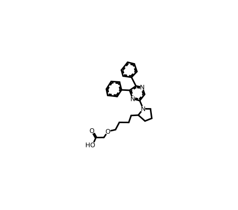 O=C(O)COCCCCC1CCCN1c1cnc(-c2ccccc2)c(-c2ccccc2)n1